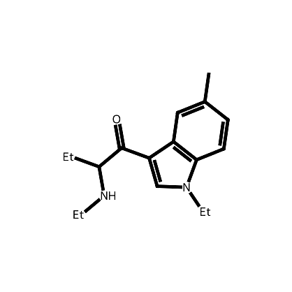 CCNC(CC)C(=O)c1cn(CC)c2ccc(C)cc12